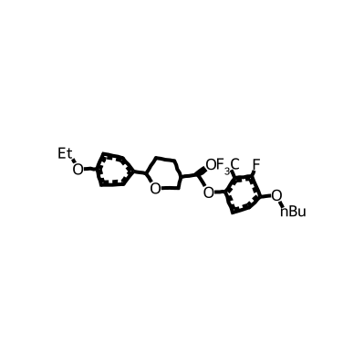 CCCCOc1ccc(OC(=O)C2CCC(c3ccc(OCC)cc3)OC2)c(C(F)(F)F)c1F